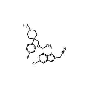 CC(OCC1(c2ccc(F)cc2)CCN(C)CC1)c1cc(Cl)cc2cn(CC#N)nc12